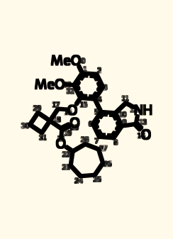 COc1ccc(-c2cccc3c2CNC3=O)c(OCC2(C(=O)OC3CCCCCC3)CCC2)c1OC